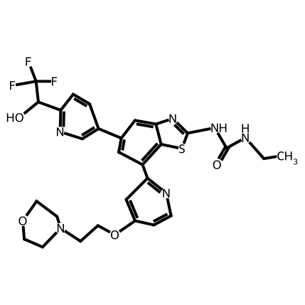 CCNC(=O)Nc1nc2cc(-c3ccc(C(O)C(F)(F)F)nc3)cc(-c3cc(OCCN4CCOCC4)ccn3)c2s1